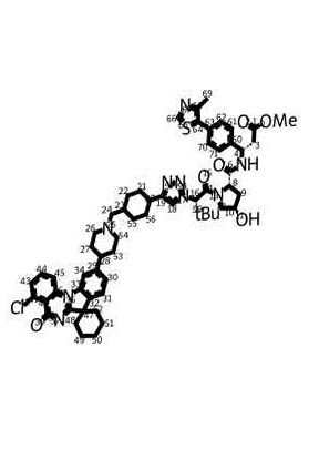 COC(=O)C[C@H](NC(=O)[C@@H]1C[C@@H](O)CN1C(=O)[C@@H](n1cc(C2CCC(CN3CCC(c4ccc5c(c4)-n4c(nc(=O)c6c(Cl)cccc64)C54CCCCC4)CC3)CC2)nn1)C(C)(C)C)c1ccc(-c2scnc2C)cc1